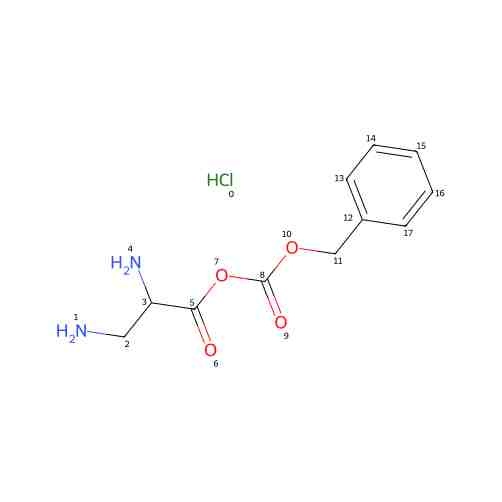 Cl.NCC(N)C(=O)OC(=O)OCc1ccccc1